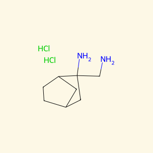 Cl.Cl.NCC1(N)CC2CCC1C2